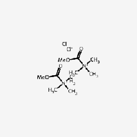 COC(=O)[N+](C)(C)C.COC(=O)[N+](C)(C)C.[Cl-].[Cl-]